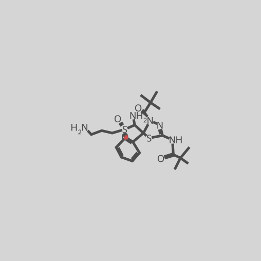 CC(C)(C)C(=O)NC1=NN(C(=O)C(C)(C)C)C(c2ccccc2)(C(N)S(=O)(=O)CCCN)S1